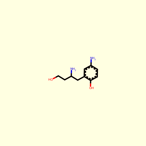 Nc1ccc(O)c(CC(N)CCO)c1